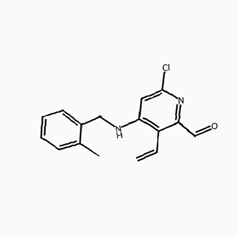 C=Cc1c(NCc2ccccc2C)cc(Cl)nc1C=O